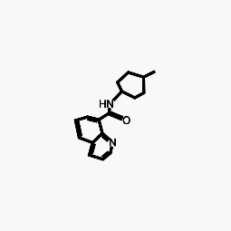 CC1CCC(NC(=O)c2cccc3cccnc23)CC1